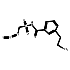 [N-]=[N+]=NCS(=O)(=O)NC(=O)c1cccc(CCN)c1